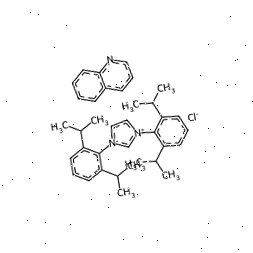 CC(C)c1cccc(C(C)C)c1-n1cc[n+](-c2c(C(C)C)cccc2C(C)C)c1.[Cl-].c1ccc2ncccc2c1